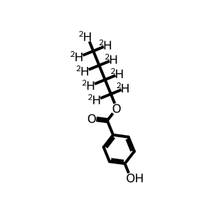 [2H]C([2H])([2H])C([2H])([2H])C([2H])([2H])C([2H])([2H])OC(=O)c1ccc(O)cc1